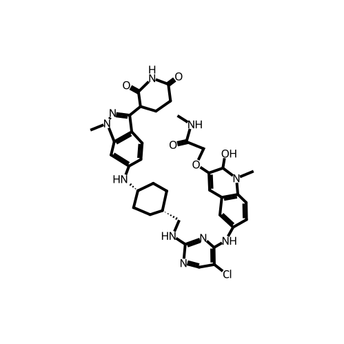 CNC(=O)COC1=Cc2cc(Nc3nc(NC[C@H]4CC[C@@H](Nc5ccc6c(C7CCC(=O)NC7=O)nn(C)c6c5)CC4)ncc3Cl)ccc2N(C)C1O